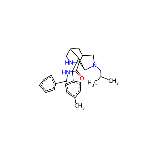 Cc1ccc(CC2C3CNC4(C(=O)NCc5ccccc5)C(C3)CN(CC(C)C)C24)cc1